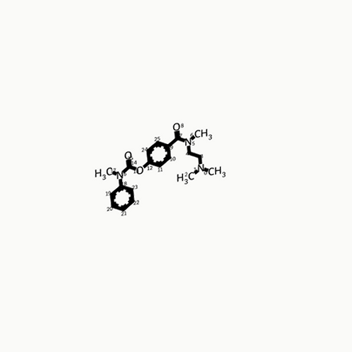 CN(C)CCN(C)C(=O)c1ccc(OC(=O)N(C)c2ccccc2)cc1